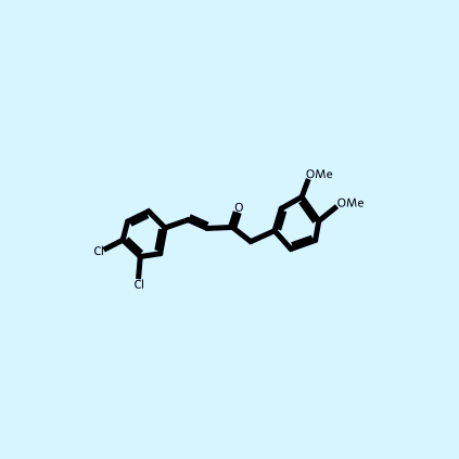 COc1ccc(CC(=O)/C=C/c2ccc(Cl)c(Cl)c2)cc1OC